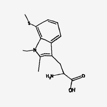 CSc1cccc2c(CC(N)C(=O)O)c(C)n(C)c12